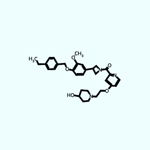 CCc1ccc(COc2ccc(C3CN(C(=O)c4cc(OCCN5CCC(O)CC5)ccn4)C3)cc2OC)cc1